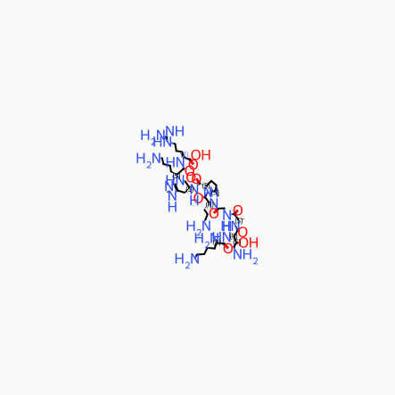 C[C@H](NC(=O)[C@@H](NC(=O)[C@@H](N)CCCCN)[C@@H](O)CN)C(=O)NCC(=O)N[C@H](CCCN)C(=O)N1[C@@H](C)CC[C@H]1C(=O)N[C@@H](Cc1cnc[nH]1)C(=O)N[C@@H](CCCCN)C(=O)N/C(=C\CCNC(=N)N)C(=O)O